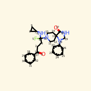 O=C(CCC(F)(NC1CC1)N1CCC2(CC1)C(=O)NCN2c1ccccc1)c1ccccc1